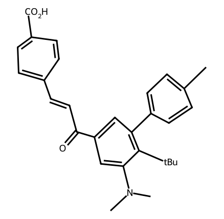 Cc1ccc(-c2cc(C(=O)C=Cc3ccc(C(=O)O)cc3)cc(N(C)C)c2C(C)(C)C)cc1